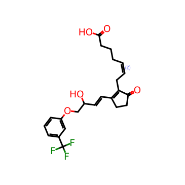 O=C(O)CCC/C=C\CC1=C(C=CC(O)COc2cccc(C(F)(F)F)c2)CCC1=O